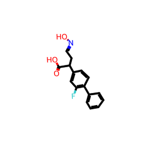 O=C(O)C(CC=NO)c1ccc(-c2ccccc2)c(F)c1